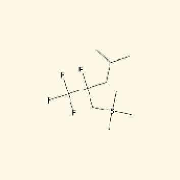 CC(C)CC(F)(CS(C)(C)C)C(F)(F)F